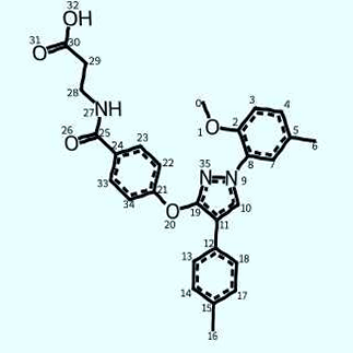 COc1ccc(C)cc1-n1cc(-c2ccc(C)cc2)c(Oc2ccc(C(=O)NCCC(=O)O)cc2)n1